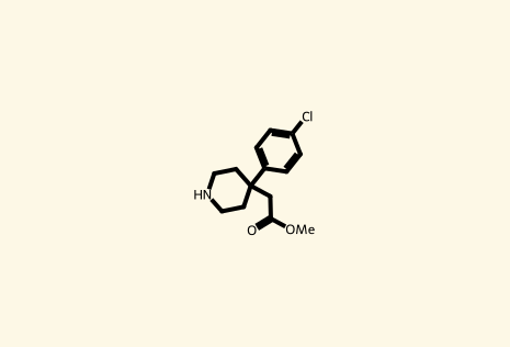 COC(=O)CC1(c2ccc(Cl)cc2)CCNCC1